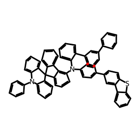 c1ccc(-c2cccc(-c3ccccc3N(c3ccc(-c4ccc5sc6ccccc6c5c4)cc3)c3cccc4c3-c3ccccc3C43c4ccccc4N(c4ccccc4)c4ccccc43)c2)cc1